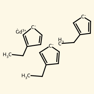 CCc1cc[cH-]c1.CCc1cc[cH-]c1.CCc1cc[cH-]c1.[Gd+3]